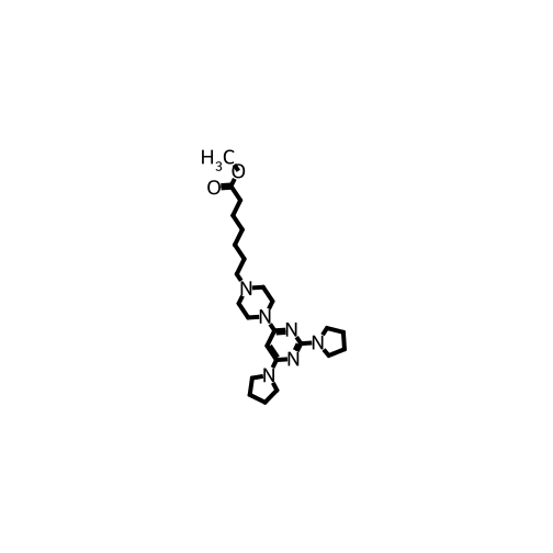 COC(=O)CCCCCCN1CCN(c2cc(N3CCCC3)nc(N3CCCC3)n2)CC1